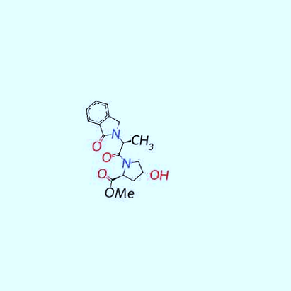 COC(=O)[C@@H]1C[C@@H](O)CN1C(=O)[C@H](C)N1Cc2ccccc2C1=O